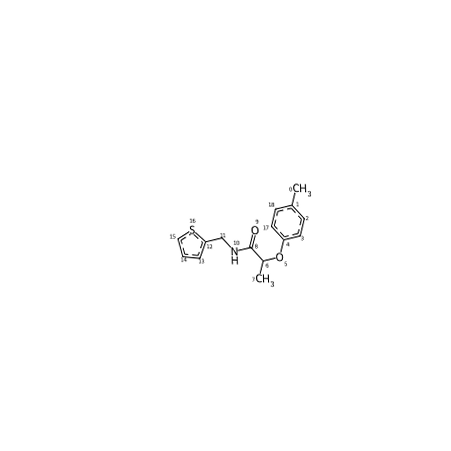 Cc1ccc(OC(C)C(=O)NCc2cccs2)cc1